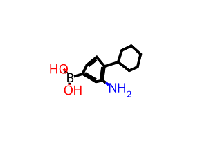 Nc1cc(B(O)O)ccc1C1CCCCC1